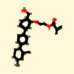 C=C(C)C(=O)OCCOc1cc(-c2ccc(C3CCC(CC)C=C3C)cc2)ccc1CO